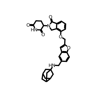 O=C1CCC(N2Cc3c(OCc4cc5cc(CNC67CC8CC(C6)C(C8)C7)ccc5o4)cccc3C2=O)C(=O)N1